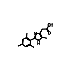 Cc1cc(C)c(-c2nc(CC(=O)O)c(C)[nH]2)c(C)c1